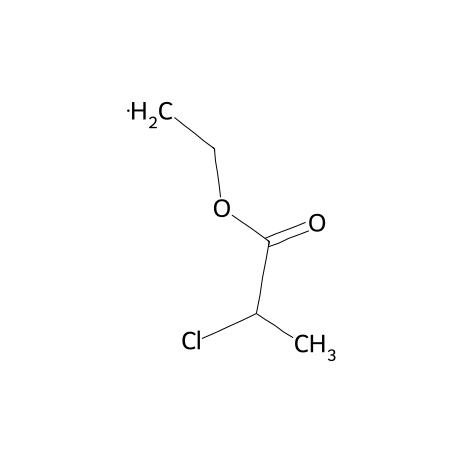 [CH2]COC(=O)C(C)Cl